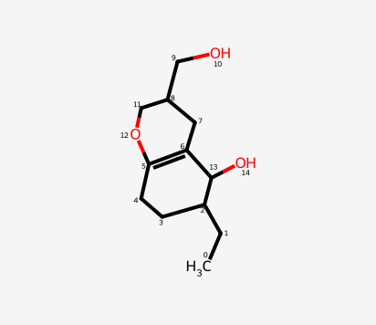 CCC1CCC2=C(CC(CO)CO2)C1O